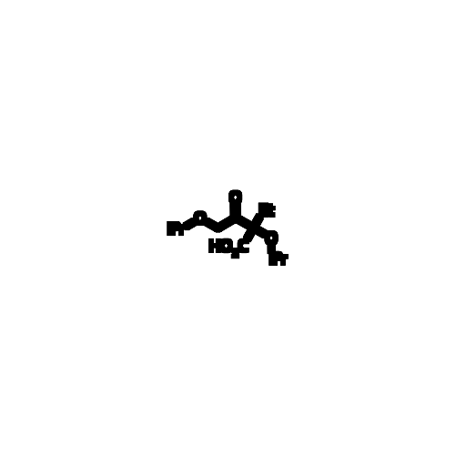 CCC(OC(C)C)(C(=O)O)C(=O)COC(C)C